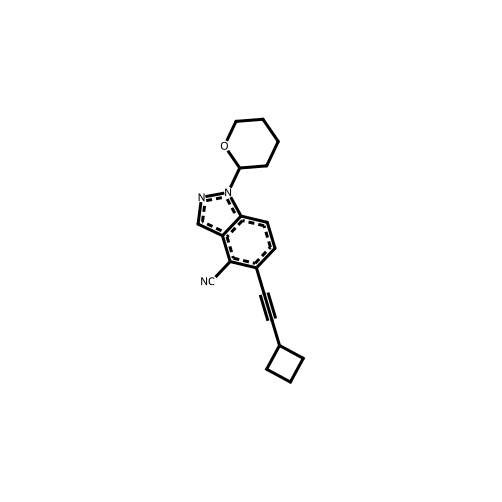 N#Cc1c(C#CC2CCC2)ccc2c1cnn2C1CCCCO1